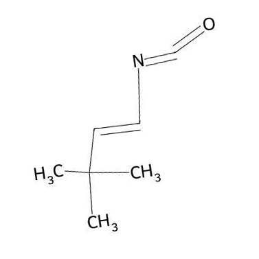 CC(C)(C)C=CN=C=O